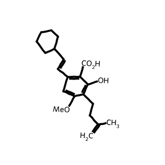 C=C(C)CCc1c(OC)cc(C=CC2CCCCC2)c(C(=O)O)c1O